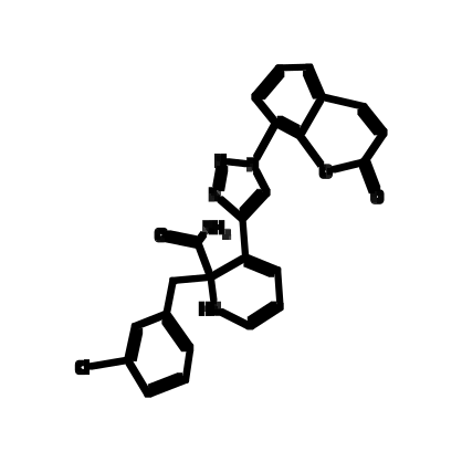 NC(=O)C1(Cc2cccc(Cl)c2)NC=CC=C1c1cn(-c2cccc3ccc(=O)oc23)nn1